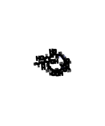 C=CCNc1c(O)cc2c(O)c1C[C@@H](C)C[C@H](OC)[C@H](O)[C@@H](C)/C=C(\C)[C@H](OC(C)=O)C(OC)/C=C\C=C(/C)C(=O)N2